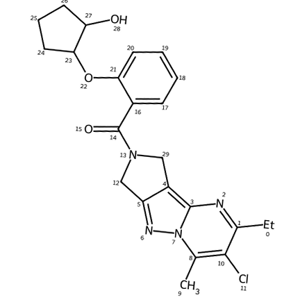 CCc1nc2c3c(nn2c(C)c1Cl)CN(C(=O)c1ccccc1OC1CCCC1O)C3